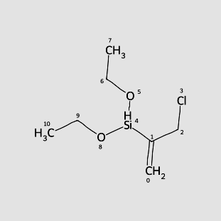 C=C(CCl)[SiH](OCC)OCC